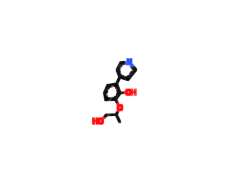 CC(CO)Oc1cccc(-c2ccncc2)c1O